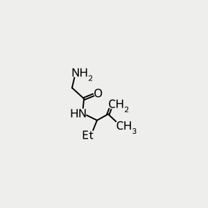 C=C(C)C(CC)NC(=O)CN